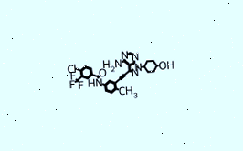 Cc1ccc(NC(=O)c2ccc(Cl)c(C(F)(F)F)c2)cc1C#Cc1nn(C2CCC(O)CC2)c2ncnc(N)c12